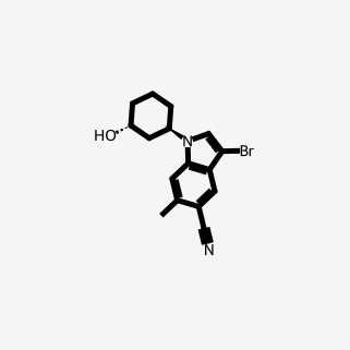 Cc1cc2c(cc1C#N)c(Br)cn2[C@@H]1CCC[C@@H](O)C1